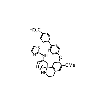 COc1cc2c(cc1Oc1ccc(-c3ccc(C(=O)O)cc3)nc1)C(C)(CC(=O)Nc1nccs1)NCC2